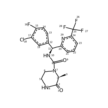 C[C@H]1C(=O)NCCN1C(=O)N[C@@H](c1ccc(F)c(Cl)c1)c1cccc(C(F)(F)F)n1